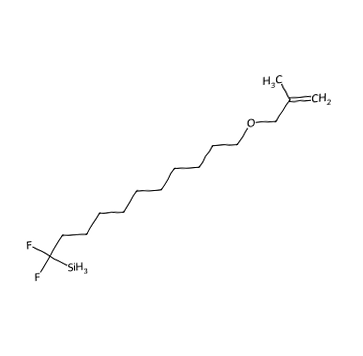 C=C(C)COCCCCCCCCCCC(F)(F)[SiH3]